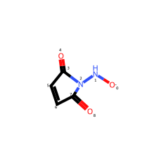 [O]NN1C(=O)C=CC1=O